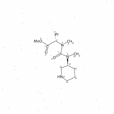 COC(=O)[C@H](C(C)C)N(C)C(=O)N(C)[C@H]1CCCNC1